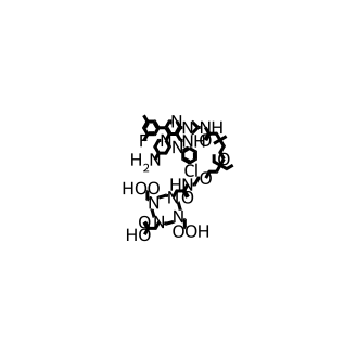 CCC(CC)(CCOCCNC(=O)CN1CCN(CC(=O)O)CCN(CC(=O)O)CCN(CC(=O)O)CC1)OCCC(C)(C)CC(=O)NC1CN(c2ncc(-c3cc(C)cc(F)c3)c(N3CCC(N)CC3)c2-c2nc3cc(Cl)ccc3[nH]2)C1